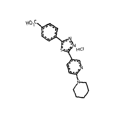 Cl.O=C(O)c1ccc(-c2nnc(-c3ccc(N4CCCCC4)nc3)s2)cc1